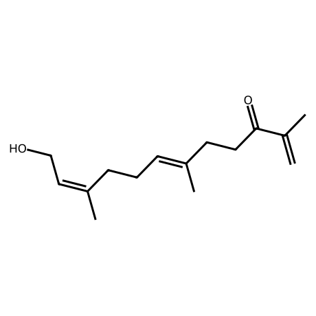 C=C(C)C(=O)CC/C(C)=C/CC/C(C)=C\CO